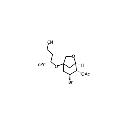 CCC[C@H](CCC#N)OC12CO[C@H](C1)[C@H](OC(C)=O)[C@@H](Br)C2